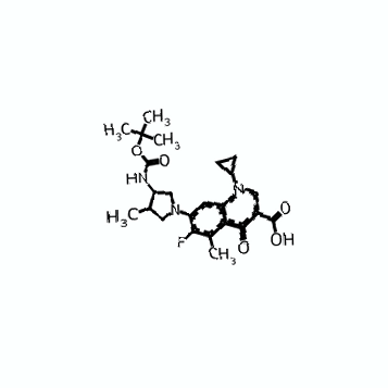 Cc1c(F)c(N2CC(C)C(NC(=O)OC(C)(C)C)C2)cc2c1c(=O)c(C(=O)O)cn2C1CC1